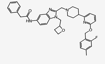 Cc1ccc(COc2cccc(C3CCN(Cc4nc5cc(NC(=O)Cc6ccccc6)ccc5n4CC4CCO4)CC3)n2)c(F)c1